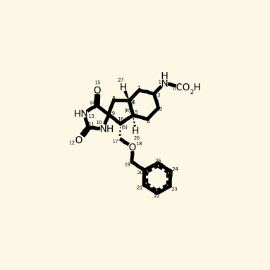 O=C(O)NC1CC[C@@H]2[C@@H](C1)CC1(NC(=O)NC1=O)[C@H]2COCc1ccccc1